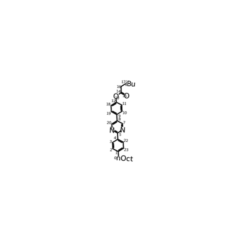 CCCCCCCCc1ccc(-c2ncc(-c3ccc(OC(=O)CC(C)CC)cc3)cn2)cc1